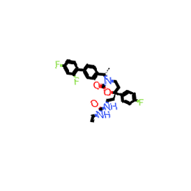 CCNC(=O)NCC[C@]1(c2ccc(F)cc2)CCN([C@@H](C)c2ccc(-c3ccc(F)cc3F)cc2)C(=O)O1